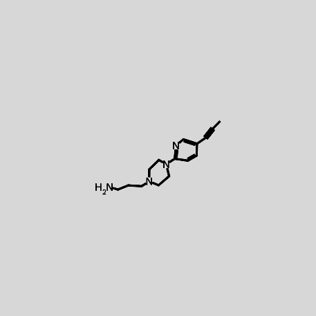 CC#Cc1ccc(N2CCN(CCCN)CC2)nc1